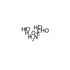 Cl.Cl.NC=O.O